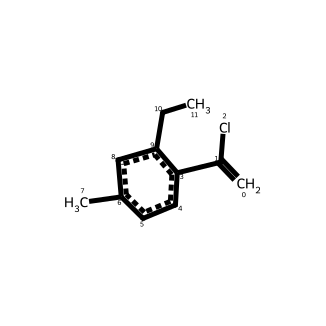 C=C(Cl)c1ccc(C)cc1CC